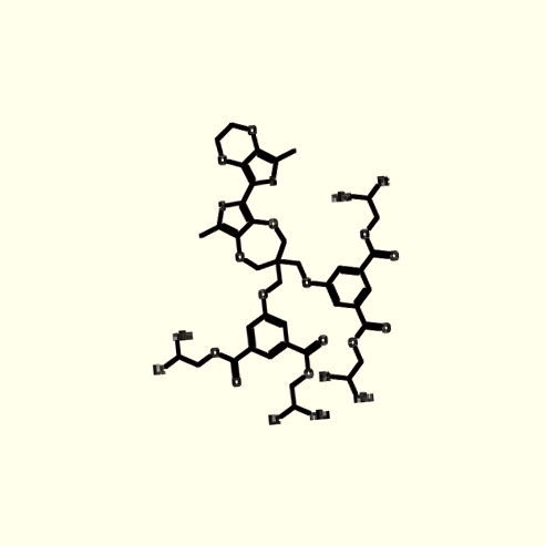 CCCCC(CC)COC(=O)c1cc(OCC2(COc3cc(C(=O)OCC(CC)CCCC)cc(C(=O)OCC(CC)CCCC)c3)COc3c(C)sc(-c4sc(C)c5c4OCCO5)c3OC2)cc(C(=O)OCC(CC)CCCC)c1